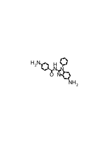 Nc1ccc(C(=O)Nc2nc3cc(N)ccc3n2-c2ccccc2)cc1